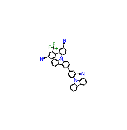 N#Cc1ccc(-n2c3ccccc3c3cc(-c4ccc(-n5c6ccccc6c6ccccc65)c(C#N)c4)ccc32)c(-c2ccc(C#N)cc2C(F)(F)F)c1